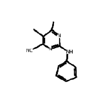 Cc1nc(Nc2ccccc2)nc(C#N)c1C